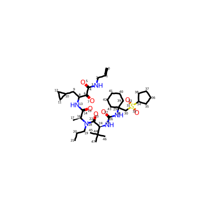 C=CCNC(=O)C(=O)C(CC1CC1)NC(=O)[C@H](C)N(CCC)C(=O)[C@@H](NC(=O)NC1(CS(=O)(=O)C2CCCC2)CCCCC1)C(C)(C)C